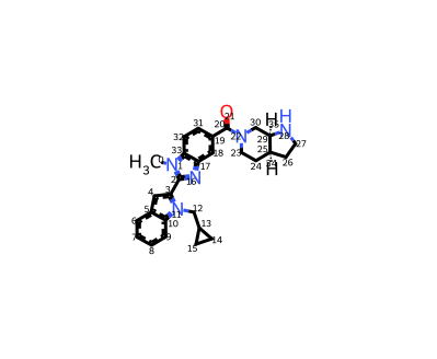 Cn1c(-c2cc3ccccc3n2CC2CC2)nc2cc(C(=O)N3CC[C@@H]4CCN[C@@H]4C3)ccc21